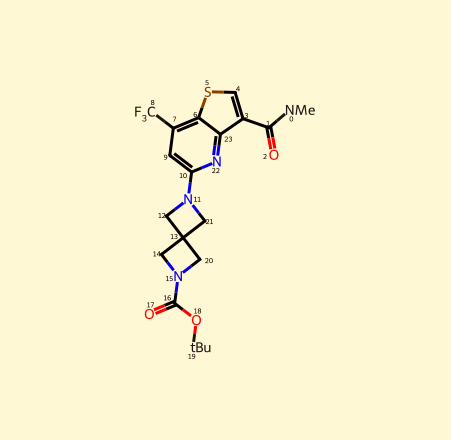 CNC(=O)c1csc2c(C(F)(F)F)cc(N3CC4(CN(C(=O)OC(C)(C)C)C4)C3)nc12